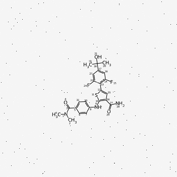 CN(C)C(=O)c1ccc(Nc2sc(-c3c(F)cc(C(C)(C)O)cc3F)cc2C(N)=O)cc1